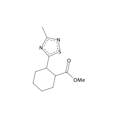 COC(=O)C1CCCCC1c1nc(C)ns1